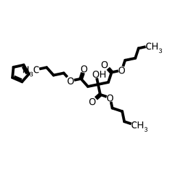 C1=CCC=C1.CCCCOC(=O)CC(O)(CC(=O)OCCCC)C(=O)OCCCC